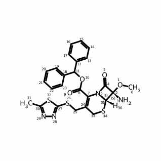 CO[C@@]1(N)C(=O)N2C(C(=O)OC(c3ccccc3)c3ccccc3)=C(CSc3nnc(C)s3)CS[C@H]21